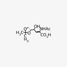 CC(=O)N/C(=C\[C@H](O)[C@H]1COC(C)(C)O1)C(=O)O